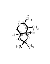 C[C@H]1[C@@H]2OC(C)(C)O[C@@H]2CO[C@H]1C